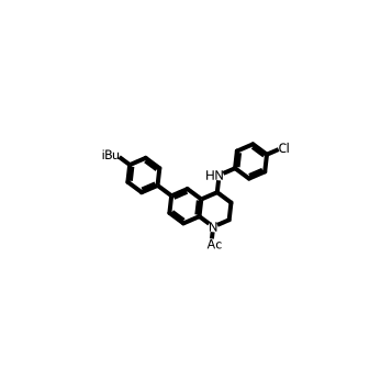 CCC(C)c1ccc(-c2ccc3c(c2)C(Nc2ccc(Cl)cc2)CCN3C(C)=O)cc1